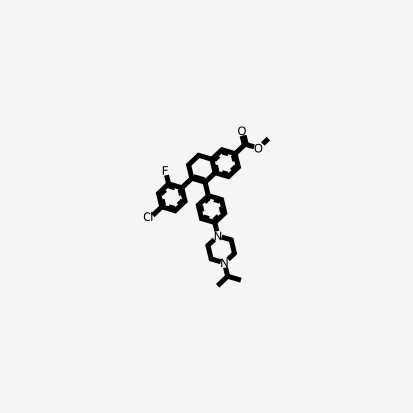 COC(=O)c1ccc2c(c1)CCC(c1ccc(Cl)cc1F)=C2c1ccc(N2CCN(C(C)C)CC2)cc1